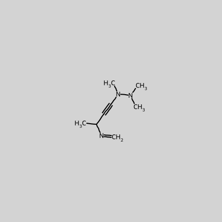 C=NC(C)C#CN(C)N(C)C